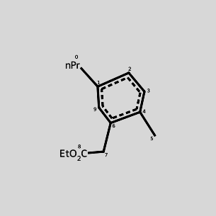 CCCc1ccc(C)c(CC(=O)OCC)c1